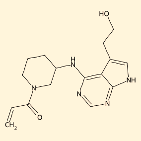 C=CC(=O)N1CCCC(Nc2ncnc3[nH]cc(CCO)c23)C1